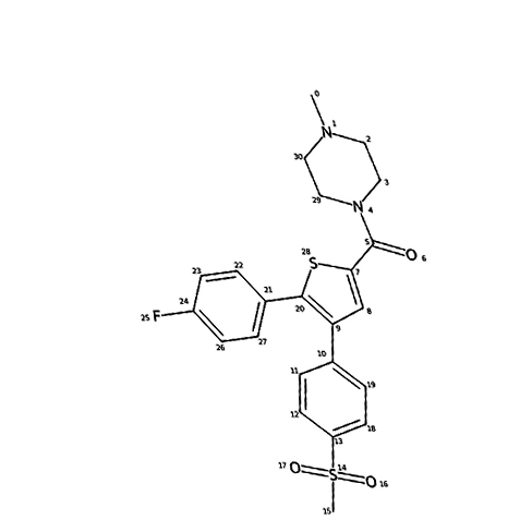 CN1CCN(C(=O)c2cc(-c3ccc(S(C)(=O)=O)cc3)c(-c3ccc(F)cc3)s2)CC1